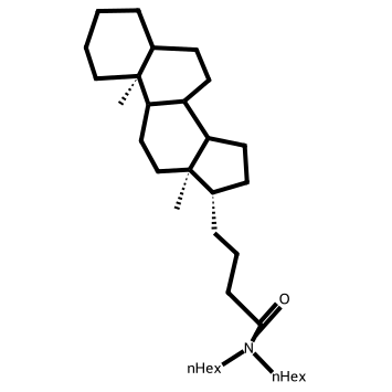 CCCCCCN(CCCCCC)C(=O)CCC[C@H]1CCC2C3CCC4CCCC[C@]4(C)C3CC[C@@]21C